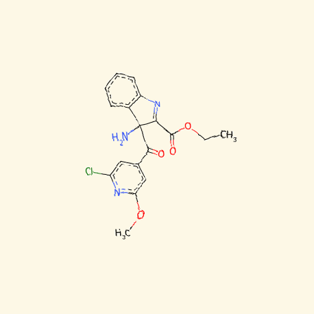 CCOC(=O)C1=Nc2ccccc2C1(N)C(=O)c1cc(Cl)nc(OC)c1